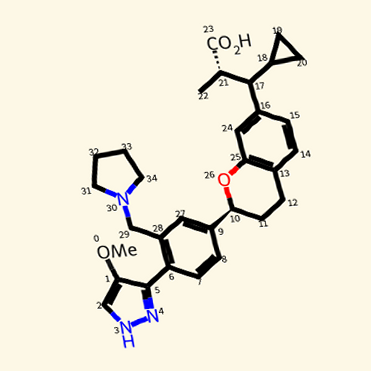 COc1c[nH]nc1-c1ccc([C@@H]2CCc3ccc(C(C4CC4)[C@H](C)C(=O)O)cc3O2)cc1CN1CCCC1